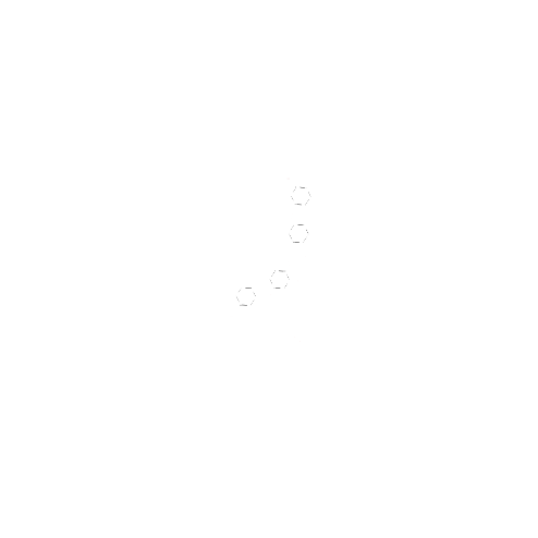 CCOCCOCCOCC(Oc1ccc(Oc2cccc(Br)c2)cc1)Oc1ccc(Oc2cccc(Br)c2)cc1